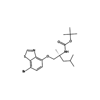 CC(C)C[C@@](C)(COc1ccc(Br)c2scnc12)NC(=O)OC(C)(C)C